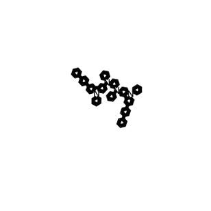 C1=CC2C(C=C1c1ccc(-c3ccccc3)cc1)c1cc(N(c3ccccc3)c3cccc(N(c4ccccc4)c4ccc5c(c4)c4cc(-c6ccc(-c7ccccc7)cc6)ccc4n5-c4ccccc4)c3)ccc1N2c1ccccc1